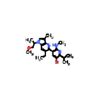 CCc1cc2c(nc1-c1cc(Br)c(C(C)C)nc1NC)c(C)cn2C(C)COC